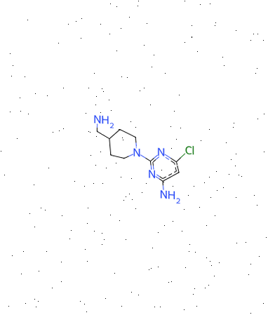 NCC1CCN(c2nc(N)cc(Cl)n2)CC1